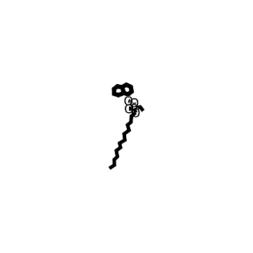 CCCCCCCCCCCCCOP(=O)(CC)OOc1cccc2ccccc12